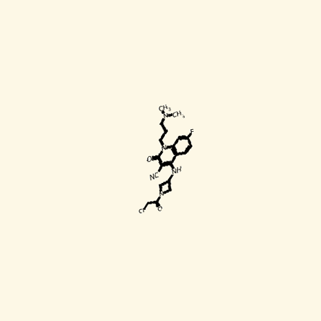 CN(C)CCCn1c(=O)c(C#N)c(NC2CN(C(=O)CCl)C2)c2ccc(F)cc21